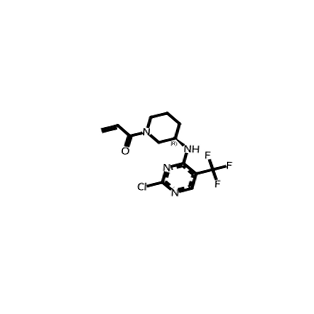 C=CC(=O)N1CCC[C@@H](Nc2nc(Cl)ncc2C(F)(F)F)C1